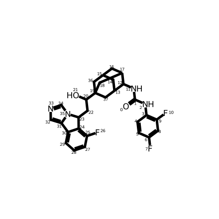 O=C(Nc1ccc(F)cc1F)NC1C2CC3CC1CC(C(O)CC1c4c(F)cccc4-c4cncn41)(C3)C2